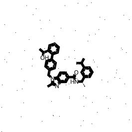 Cc1nc2cc(C(=O)N[C@@H](C)c3cccc(C(C)C)c3)ccc2n1Cc1ccc(-c2ccccc2C(C)O)cc1